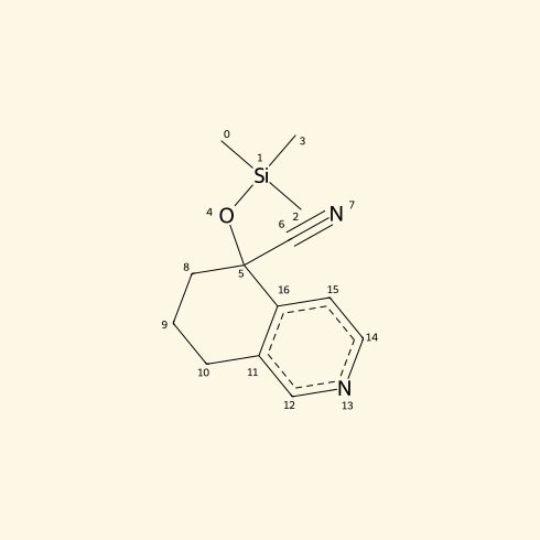 C[Si](C)(C)OC1(C#N)CCCc2cnccc21